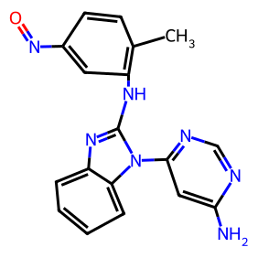 Cc1ccc(N=O)cc1Nc1nc2ccccc2n1-c1cc(N)ncn1